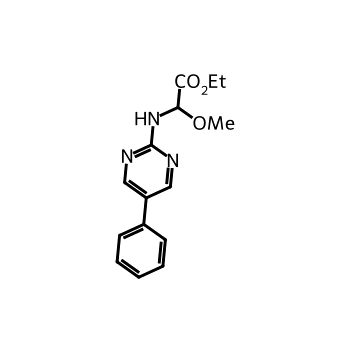 CCOC(=O)C(Nc1ncc(-c2ccccc2)cn1)OC